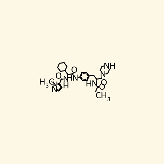 CCC(=O)NC(Cc1ccc(NC(=O)C(NC(=O)c2ccnn2C)C2CCCCC2)cc1)C(=O)N1CCNCC1